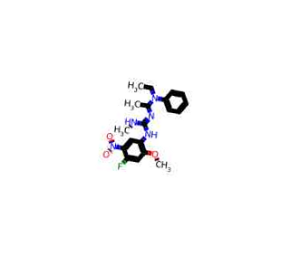 CCN(c1ccccc1)C(C)/N=C(\NC)Nc1cc([N+](=O)[O-])c(F)cc1OC